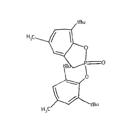 Cc1cc2c(c(C(C)(C)C)c1)OP(=O)(Oc1c(C(C)(C)C)cc(C)cc1C(C)(C)C)C2